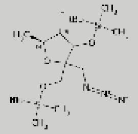 C[C@@H]1OC(CN=[N+]=[N-])(CO[Si](C)(C)C(C)(C)C)C(O[Si](C)(C)C(C)(C)C)[C@H]1F